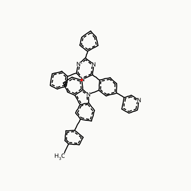 Cc1ccc(-c2ccc3c(c2)c2ccccc2n3-c2cc(-c3cccnc3)ccc2-c2nc(-c3ccccc3)nc(-c3ccccc3)n2)cc1